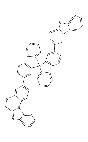 c1ccc([Si](c2ccccc2)(c2cccc(-c3ccc4c(c3)SCc3nc5ccccc5n3-4)c2)c2cccc(-c3ccc4oc5ccccc5c4c3)c2)cc1